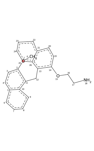 COc1ccc2ccccc2c1Cc1c(OCCN)ccc2ccccc12